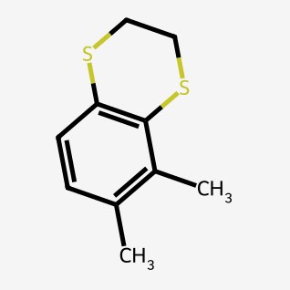 Cc1ccc2c(c1C)SCCS2